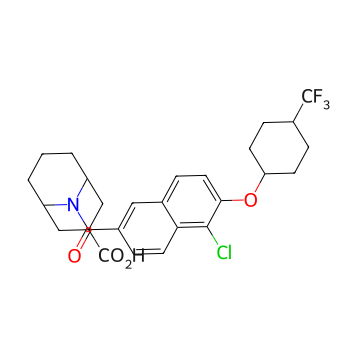 O=C(O)C1CC2CCCC(C1)N2C(=O)c1ccc2c(Cl)c(OC3CCC(C(F)(F)F)CC3)ccc2c1